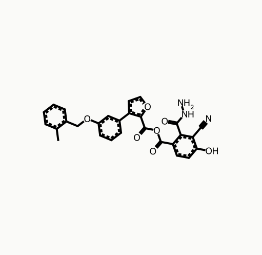 Cc1ccccc1COc1cccc(-c2ccoc2C(=O)OC(=O)c2ccc(O)c(C#N)c2C(=O)NN)c1